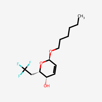 CCCCCCO[C@H]1C=C[C@H](O)[C@H](CC(F)(F)F)O1